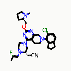 CC(F)=CN1CCN(c2nc(OC[C@H]3CCCN3C)nc3c2CCN(c2c(Cl)ccc4c2CCC4)C3)C[C@@H]1CC#N